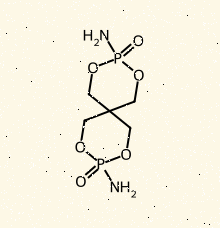 NP1(=O)OCC2(CO1)COP(N)(=O)OC2